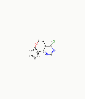 Clc1ncnc2c1CCOc1ccccc1-2